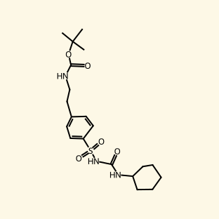 CC(C)(C)OC(=O)NCCc1ccc(S(=O)(=O)NC(=O)NC2CCCCC2)cc1